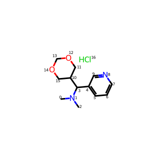 CN(C)C(c1cccnc1)C1COCOC1.Cl